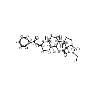 CCC[C@@H](C)C1CC[C@H]2[C@@H]3CC[C@@H]4C[C@H](OC(=O)c5ccccc5)CC[C@]4(C)C3CC(=O)[C@]12C